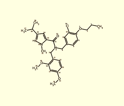 CCCOc1ccc(CN(Cc2ccc(OC)cc2OC)C(=O)c2cc(C(C)C)nn2C)cc1Cl